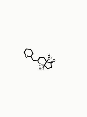 CC12CCC(CC3CCCCO3)OC1(O)CCC2=O